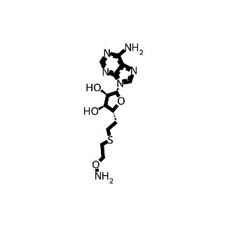 NOCCSCC[C@H]1O[C@@H](n2cnc3c(N)ncnc32)[C@H](O)[C@@H]1O